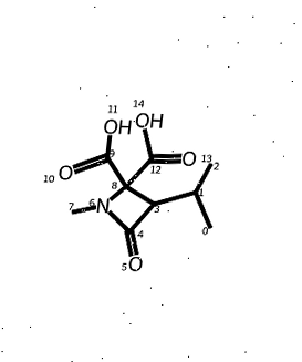 CC(C)C1C(=O)N(C)C1(C(=O)O)C(=O)O